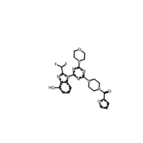 O=C(c1ccco1)N1CCN(c2nc(N3CCOCC3)nc(-n3c(C(F)F)nc4c(O)cccc43)n2)CC1